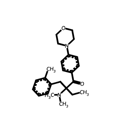 CCC(Cc1ccccc1C)(C(=O)c1ccc(N2CCOCC2)cc1)N(C)C